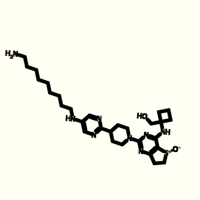 NCCCCCCCCCNc1cnc(C2CCN(c3nc4c(c(NC5(CO)CCC5)n3)[S@+]([O-])CC4)CC2)nc1